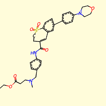 CCOC(=O)CCN(C)Cc1ccc(NC(=O)C2=Cc3cc(-c4ccc(N5CCOCC5)cc4)ccc3S(=O)(=O)CC2)cc1